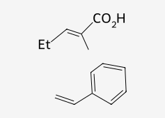 C=Cc1ccccc1.CC/C=C(\C)C(=O)O